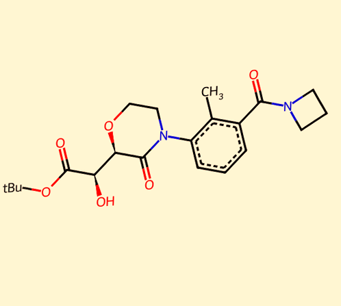 Cc1c(C(=O)N2CCC2)cccc1N1CCO[C@H]([C@@H](O)C(=O)OC(C)(C)C)C1=O